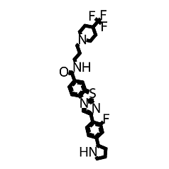 O=C(NCCCN1CCC(C(F)(F)F)CC1)c1ccc2c(c1)sc1nc(-c3ccc(C4CCCN4)cc3F)cn12